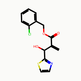 C=C(C(=O)OCc1ccccc1Cl)C(O)c1nccs1